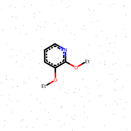 CCOc1cccnc1OCC